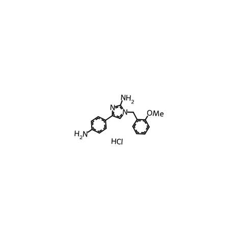 COc1ccccc1Cn1cc(-c2ccc(N)cc2)nc1N.Cl